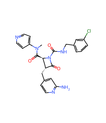 CN(C(=O)[C@@H]1[C@@H](Cc2ccnc(N)c2)C(=O)N1C(=O)NCc1cccc(Cl)c1)c1ccncc1